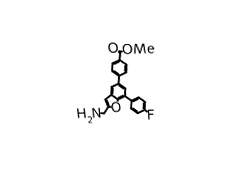 COC(=O)c1ccc(-c2cc(-c3ccc(F)cc3)c3oc(CN)cc3c2)cc1